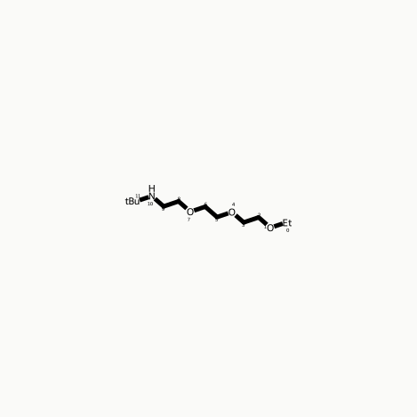 CCOCCOCCOCCNC(C)(C)C